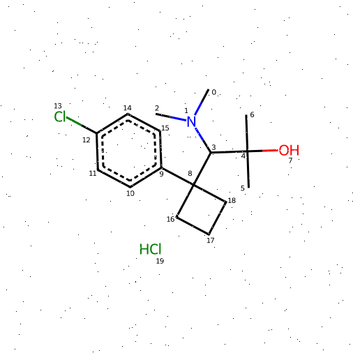 CN(C)C(C(C)(C)O)C1(c2ccc(Cl)cc2)CCC1.Cl